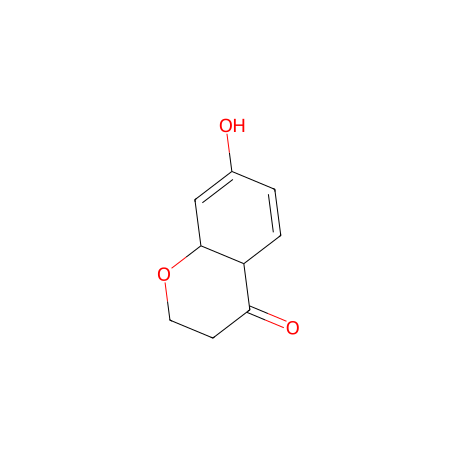 O=C1CCOC2C=C(O)C=CC12